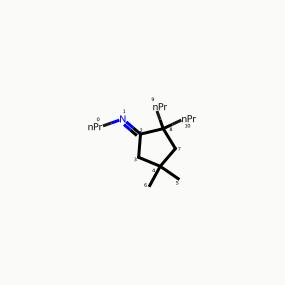 CCC/N=C1\CC(C)(C)CC1(CCC)CCC